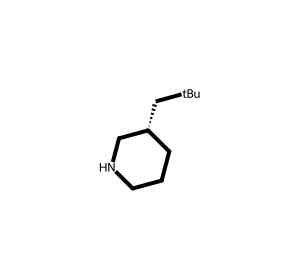 CC(C)(C)C[C@@H]1CCCNC1